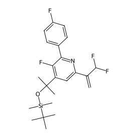 C=C(c1cc(C(C)(C)O[Si](C)(C)C(C)(C)C)c(F)c(-c2ccc(F)cc2)n1)C(F)F